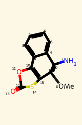 COc1c(N)c2ccccc2c2oc(=O)sc12